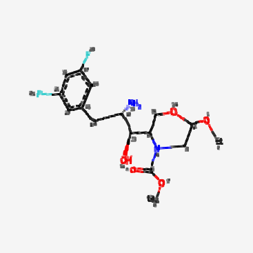 CCOC1CN(C(=O)OC(C)(C)C)C([C@@H](O)[C@@H](N)Cc2cc(F)cc(F)c2)CO1